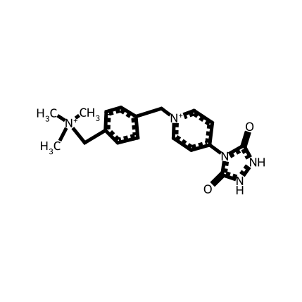 C[N+](C)(C)Cc1ccc(C[n+]2ccc(-n3c(=O)[nH][nH]c3=O)cc2)cc1